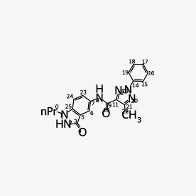 CCCn1[nH]c(=O)c2cc(NC(=O)c3nn(-c4ccccc4)nc3C)ccc21